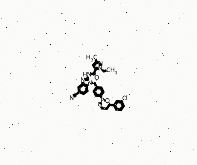 CCn1nc(C)cc1C(=O)Nc1nc2cc(C#N)ccc2n1Cc1ccc(P2OCCC(c3cccc(Cl)c3)O2)cc1